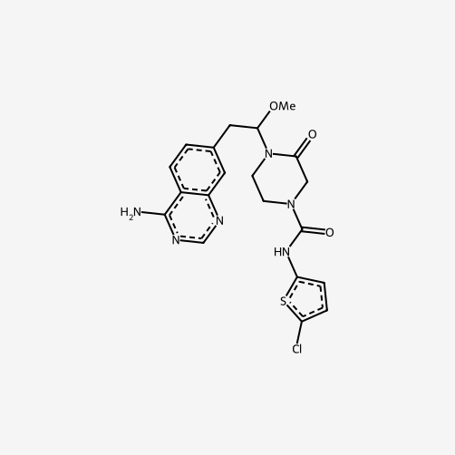 COC(Cc1ccc2c(N)ncnc2c1)N1CCN(C(=O)Nc2ccc(Cl)s2)CC1=O